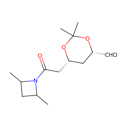 CC1CC(C)N1C(=O)C[C@H]1C[C@@H](C=O)OC(C)(C)O1